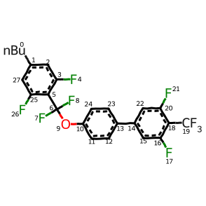 CCCCc1cc(F)c(C(F)(F)Oc2ccc(-c3cc(F)c(C(F)(F)F)c(F)c3)cc2)c(F)c1